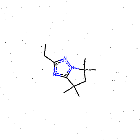 CCc1nc2n(n1)C(C)(C)CC2(C)C